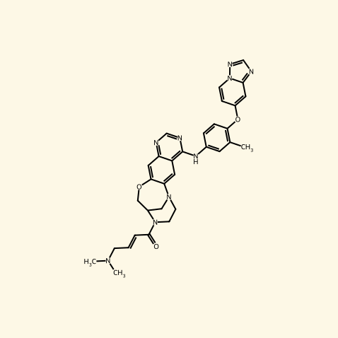 Cc1cc(Nc2ncnc3cc4c(cc23)N2CCN(C(=O)/C=C/CN(C)C)C(CO4)C2)ccc1Oc1ccn2ncnc2c1